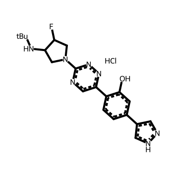 CC(C)(C)NC1CN(c2ncc(-c3ccc(-c4cn[nH]c4)cc3O)nn2)CC1F.Cl